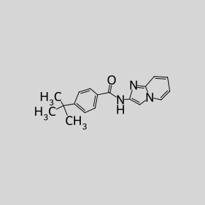 CC(C)(C)c1ccc(C(=O)Nc2cn3ccccc3n2)cc1